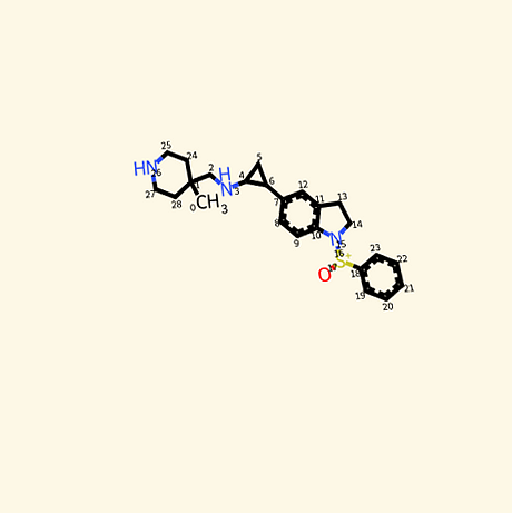 CC1(CNC2CC2c2ccc3c(c2)CCN3[S+]([O-])c2ccccc2)CCNCC1